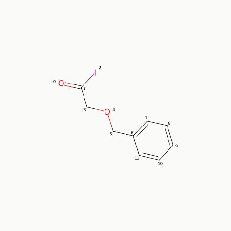 O=C(I)COCc1ccccc1